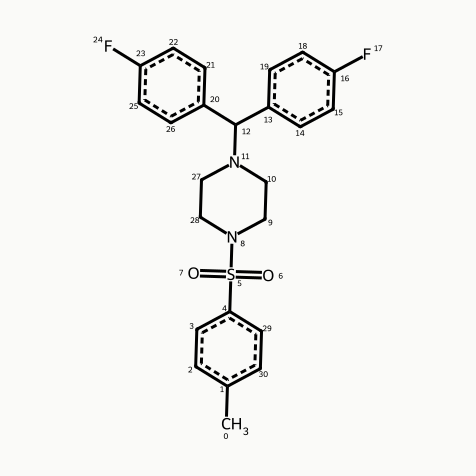 Cc1ccc(S(=O)(=O)N2CCN(C(c3ccc(F)cc3)c3ccc(F)cc3)CC2)cc1